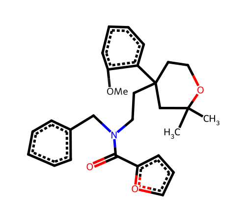 COc1ccccc1C1(CCN(Cc2ccccc2)C(=O)c2ccco2)CCOC(C)(C)C1